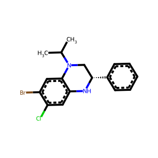 CC(C)N1C[C@H](c2ccccc2)Nc2cc(Cl)c(Br)cc21